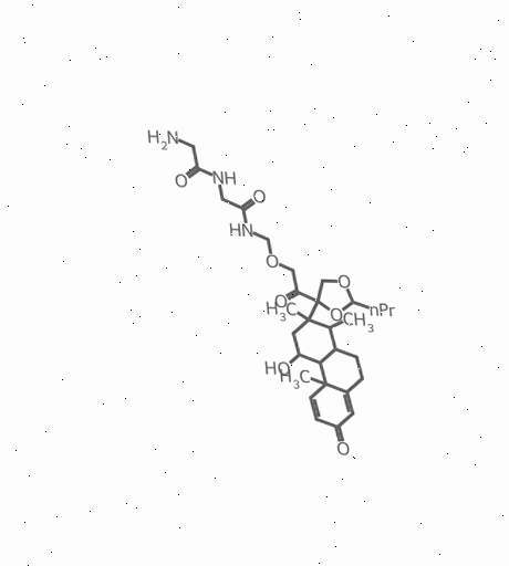 CCCC1OCC(C(=O)COCNC(=O)CNC(=O)CN)(C2(C)CC(O)C3C(CCC4=CC(=O)C=CC43C)C2C)O1